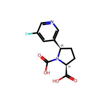 O=C(O)[C@@H]1CC[C@H](c2cncc(F)c2)N1C(=O)O